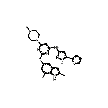 Cc1cc2cc(Oc3nc(Nc4cc(-c5cccs5)[nH]n4)cc(N4CCN(C)CC4)n3)cc(F)c2[nH]1